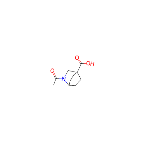 CC(=O)N1CC2(C(=O)O)CCC1CC2